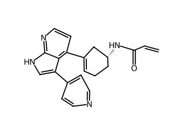 C=CC(=O)N[C@@H]1CCC=C(c2ccnc3[nH]cc(-c4ccncc4)c23)C1